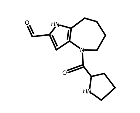 O=Cc1cc2c([nH]1)CCCCN2C(=O)C1CCCN1